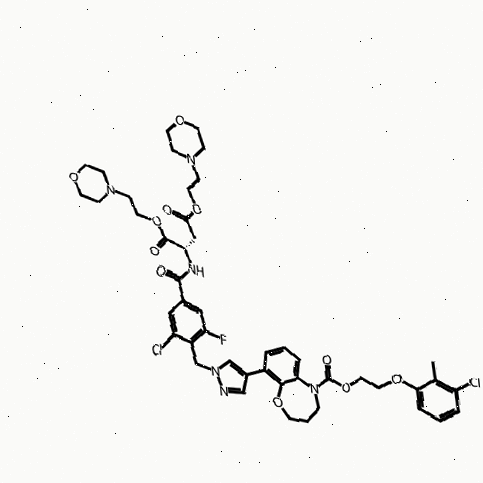 Cc1c(Cl)cccc1OCCOC(=O)N1CCCOc2c(-c3cnn(Cc4c(F)cc(C(=O)N[C@@H](CC(=O)OCCN5CCOCC5)C(=O)OCCN5CCOCC5)cc4Cl)c3)cccc21